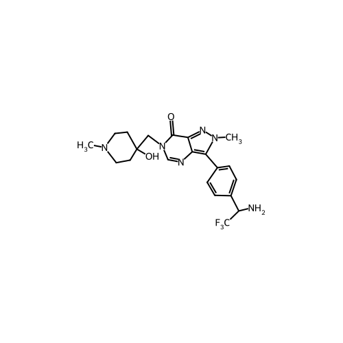 CN1CCC(O)(Cn2cnc3c(-c4ccc(C(N)C(F)(F)F)cc4)n(C)nc3c2=O)CC1